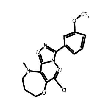 CN1CCCOc2c(Cl)nn3c(-c4cccc(OC(F)(F)F)c4)nnc3c21